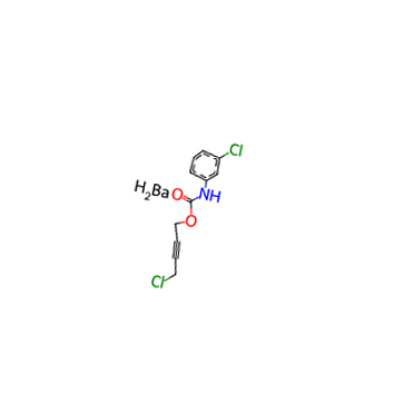 O=C(Nc1cccc(Cl)c1)OCC#CCCl.[BaH2]